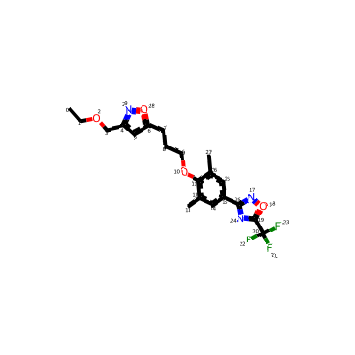 CCOCc1cc(CCCOc2c(C)cc(-c3noc(C(F)(F)F)n3)cc2C)on1